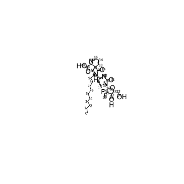 CCCCCCCCCCCCC1(C(=O)Nc2ccn([C@@H]3O[C@H](CO)[C@@H](O)C3(F)F)c(=O)n2)C=CC=NC1C(=O)O